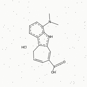 CN(C)c1cccc2c3c([nH]c12)C=C(C(=O)O)C=CC3.Cl